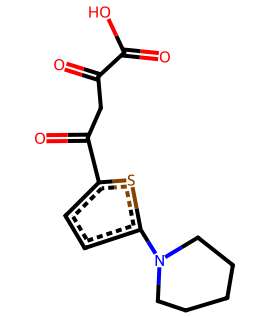 O=C(O)C(=O)CC(=O)c1ccc(N2CCCCC2)s1